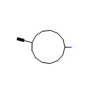 C#CC1CCCCCCC(N)CCCCC1